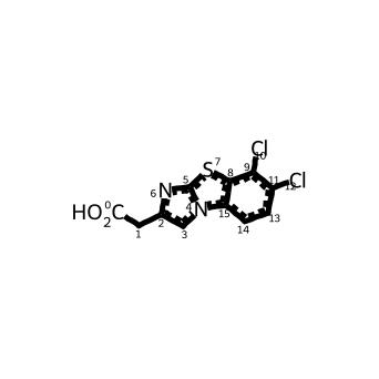 O=C(O)Cc1cn2c(n1)sc1c(Cl)c(Cl)ccc12